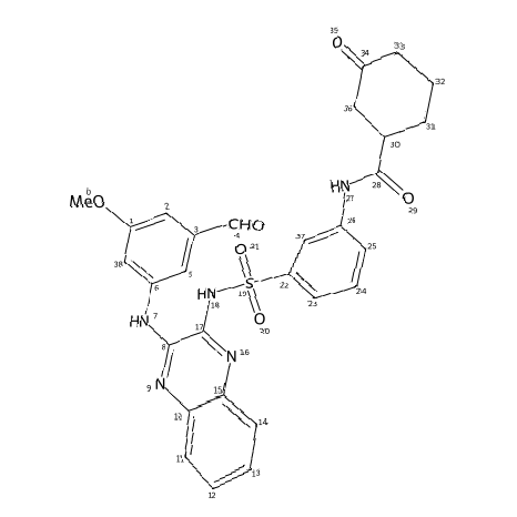 COc1cc(C=O)cc(Nc2nc3ccccc3nc2NS(=O)(=O)c2cccc(NC(=O)C3CCCC(=O)C3)c2)c1